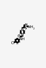 Nc1ncc(CN2CCN(CC(=O)Nc3ccc(Cl)cc3)CC2)s1